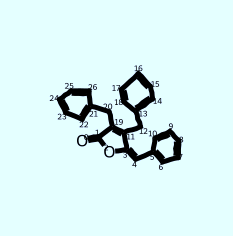 O=C1OC(=Cc2ccccc2)C(Cc2ccccc2)=C1Cc1ccccc1